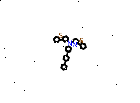 c1ccc(-c2ccc(-c3ccc(N(c4ccc5sc6ccccc6c5c4)c4ccc5sc6ccccc6c5n4)cc3)cc2)cc1